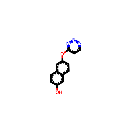 Oc1ccc2cc(Oc3ccnnn3)ccc2c1